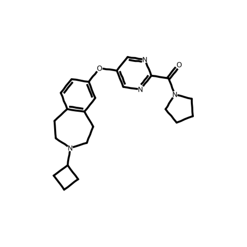 O=C(c1ncc(Oc2ccc3c(c2)CCN(C2CCC2)CC3)cn1)N1CCCC1